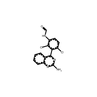 Nc1nc(-c2c(Cl)ccc(N[C]=O)c2Cl)c2ccccc2n1